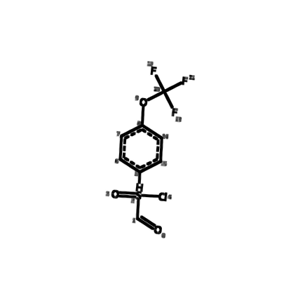 O=C[SH](=O)(Cl)c1ccc(OC(F)(F)F)cc1